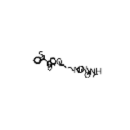 CC(C)NC(=O)CN1CCN(CCCCCOc2ccc3c(-c4csc5ccccc45)coc3c2)CC1